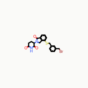 O=C1CCC(N2Cc3c(SCc4cccc(CBr)c4)cccc3C2=O)C(=O)N1